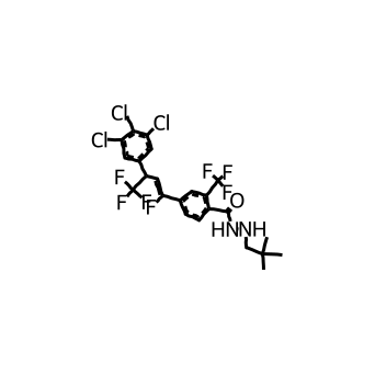 CC(C)(C)CNNC(=O)c1ccc(C(F)=CC(c2cc(Cl)c(Cl)c(Cl)c2)C(F)(F)F)cc1C(F)(F)F